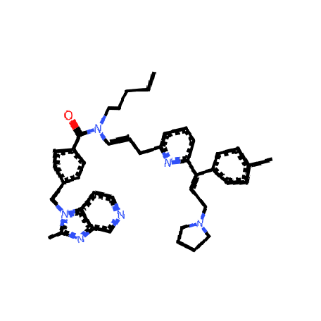 CCCCCN(C=CCc1cccc(C(=CCN2CCCC2)c2ccc(C)cc2)n1)C(=O)c1ccc(Cn2c(C)nc3cnccc32)cc1